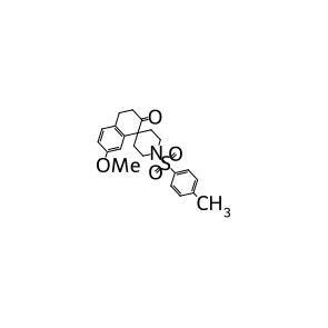 COc1ccc2c(c1)C1(CCN(S(=O)(=O)c3ccc(C)cc3)CC1)C(=O)CC2